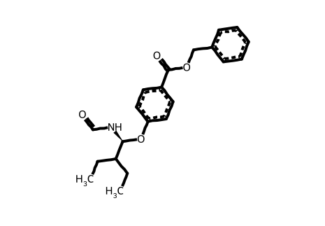 CCC(CC)[C@@H](NC=O)Oc1ccc(C(=O)OCc2ccccc2)cc1